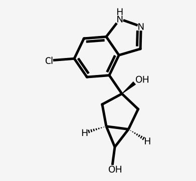 OC1[C@H]2C[C@](O)(c3cc(Cl)cc4[nH]ncc34)C[C@@H]12